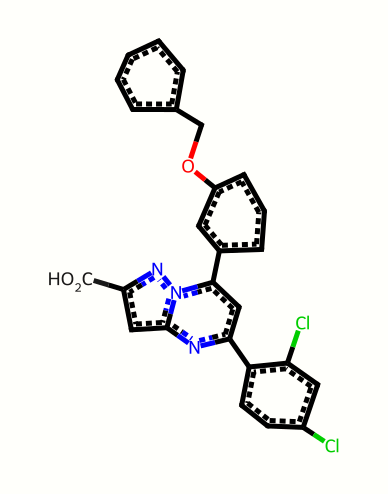 O=C(O)c1cc2nc(-c3ccc(Cl)cc3Cl)cc(-c3cccc(OCc4ccccc4)c3)n2n1